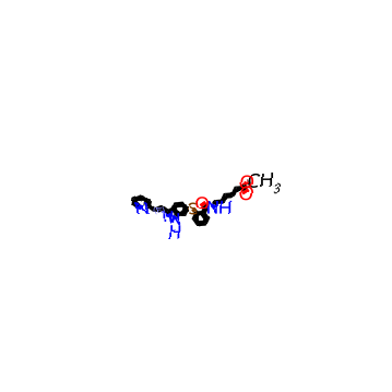 COC(=O)CCCCCNC(=O)c1ccccc1Sc1ccc2c(/C=C/c3ccccn3)n[nH]c2c1